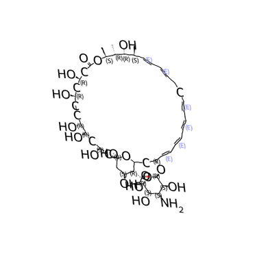 C[C@@H]1[C@H](O)[C@@H](C)/C=C/C=C/CC/C=C/C=C/C=C/C=C/[C@H](O[C@@H]2O[C@H](C)[C@@H](O)[C@H](N)[C@@H]2O)CC2O[C@](O)(C[C@@H](O)C[C@@H](O)[C@H](O)CC[C@@H](O)C[C@@H](O)CC(=O)O[C@H]1C)C[C@H](O)[C@H]2C(=O)O